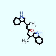 CC(=CC(=O)C=C(C)c1c[nH]c2ccccc12)c1c[nH]c2ccccc12